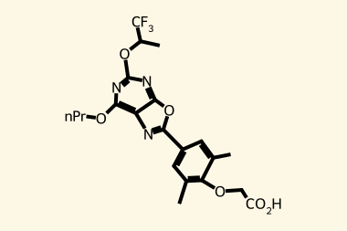 CCCOc1nc(OC(C)C(F)(F)F)nc2oc(-c3cc(C)c(OCC(=O)O)c(C)c3)nc12